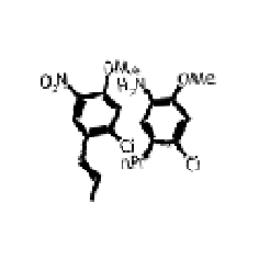 C/C=C/c1cc([N+](=O)[O-])c(OC)cc1Cl.CCCc1cc(N)c(OC)cc1Cl